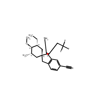 CC[C@@H]1C[C@@]2(Cc3ccc(C#N)cc3[C@]23N=C(N)C(CC(F)(F)F)=N3)C[C@H](C)[C@H]1OC